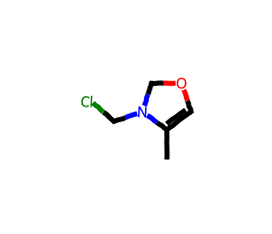 CC1=COCN1CCl